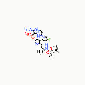 C[C@H](CCc1ncc(F)cc1[C@H]1C[C@H](F)CN1c1ccn2nc(N)c(C(=O)O)c2n1)NC(=O)OC(C)(C)C